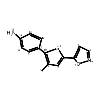 Cc1cc(-c2ccno2)sc1-c1ccc(N)cc1